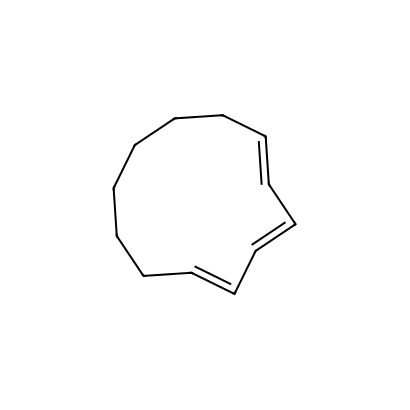 C1=C/C=C/CCCCCC/C=C/1